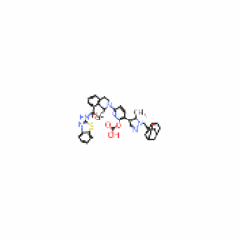 Cc1c(-c2ccc(N3CCc4cccc(C(=O)Nc5nc6ccccc6s5)c4C3C)nc2OC(=O)O)cnn1CC12CC3CC(CC(C3)C1)C2